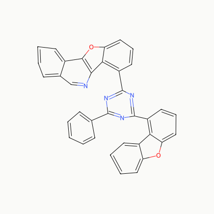 c1ccc(-c2nc(-c3cccc4oc5ccccc5c34)nc(-c3cccc4oc5c6ccccc6cnc5c34)n2)cc1